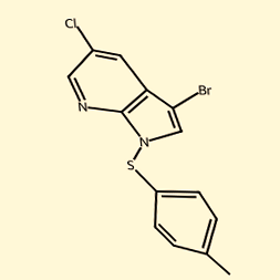 Cc1ccc(Sn2cc(Br)c3cc(Cl)cnc32)cc1